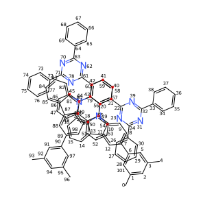 Cc1cc(C)cc(-c2ccc3c(c2)c2ccccc2n3-c2c(-c3nc(-c4ccccc4)nc(-c4ccccc4)n3)cccc2-c2ccccc2-c2ccccc2-c2cccc(-c3nc(-c4ccccc4)nc(-c4ccccc4)n3)c2-n2c3ccccc3c3cc(-c4cc(C)cc(C)c4)ccc32)c1